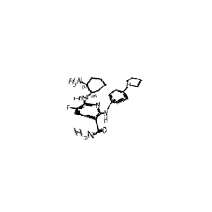 NC(=O)c1cc(F)c(N[C@@H]2CCCC[C@@H]2N)nc1Nc1ccc(N2CCCC2)cc1